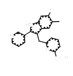 Cc1cc2c(Cc3cccc(C(=O)O)n3)c(-c3cccnc3)[nH]c2cc1Cl